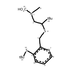 CN(CC(SCc1ncccc1SC(C)(C)C)C(C)(C)C)C(=O)O